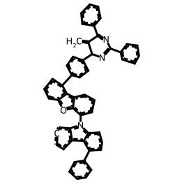 C=C1C(c2ccccc2)=NC(c2ccccc2)=NC1c1ccc(-c2cccc3oc4c(-n5c6ccccc6c6c(-c7ccccc7)cccc65)cccc4c23)cc1